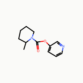 CC1CCCCN1C(=O)Oc1cccnc1